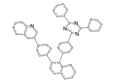 c1ccc(-c2nc(-c3ccccc3)nc(-c3ccc(-c4c(-c5ccc(-c6cnc7ccccc7c6)cc5)ccc5ccccc45)cc3)n2)cc1